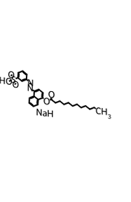 CCCCCCCCCCCC(=O)Oc1ccc(N=Nc2cccc(S(=O)(=O)O)c2)c2ccccc12.[NaH]